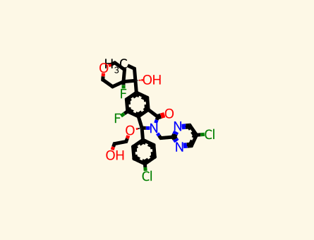 CC[C@@](O)(c1cc(F)c2c(c1)C(=O)N(Cc1ncc(Cl)cn1)[C@@]2(OCCO)c1ccc(Cl)cc1)C1(F)CCOCC1